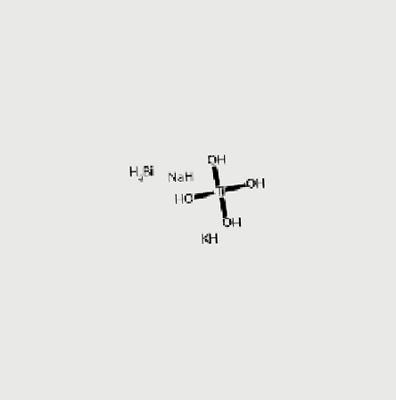 [BiH3].[KH].[NaH].[OH][Ti]([OH])([OH])[OH]